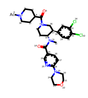 CC(=O)N1CCC(C(=O)N2CC[C@@H](N(C)C(=O)c3ccc(N4CCOCC4)nc3)[C@H](c3ccc(Cl)c(Cl)c3)C2)CC1